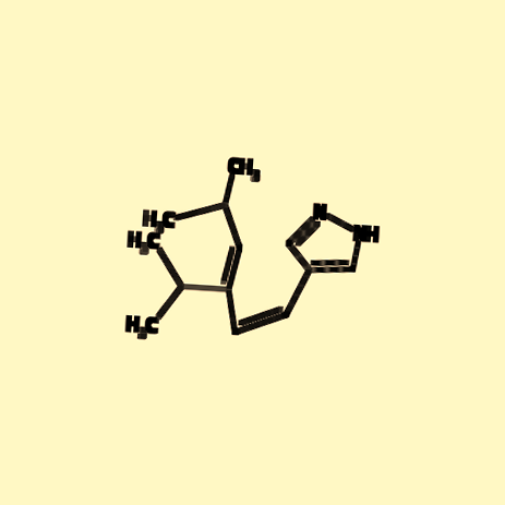 CC(C)/C=C(/C=C\c1cn[nH]c1)C(C)C